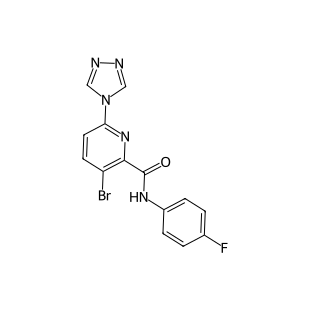 O=C(Nc1ccc(F)cc1)c1nc(-n2cnnc2)ccc1Br